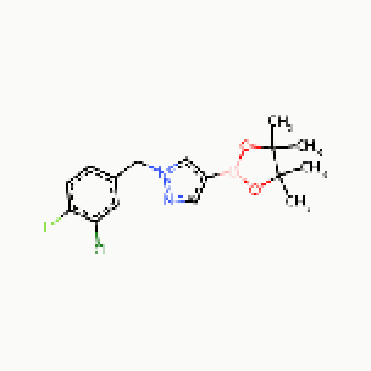 CC1(C)OB(c2cnn(Cc3ccc(F)c(Cl)c3)c2)OC1(C)C